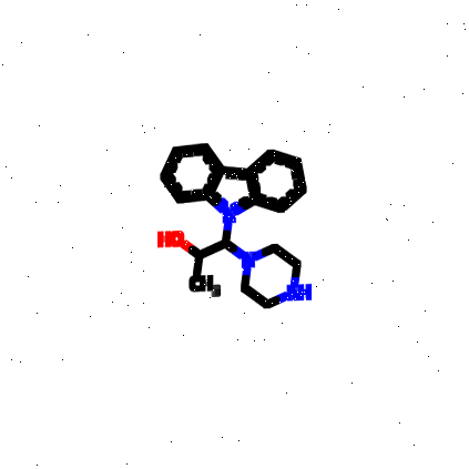 CC(O)C(N1CCNCC1)n1c2ccccc2c2ccccc21